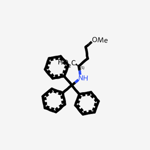 COCC[C@H](NC(c1ccccc1)(c1ccccc1)c1ccccc1)C(=O)O